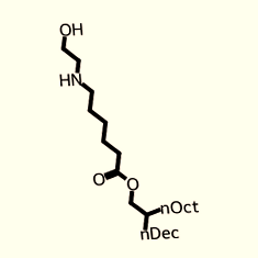 CCCCCCCCCCC(CCCCCCCC)COC(=O)CCCCCNCCO